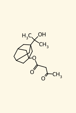 CC(=O)CC(=O)OC12CC3CC(C1)CC(C(C)(C)O)(C3)C2